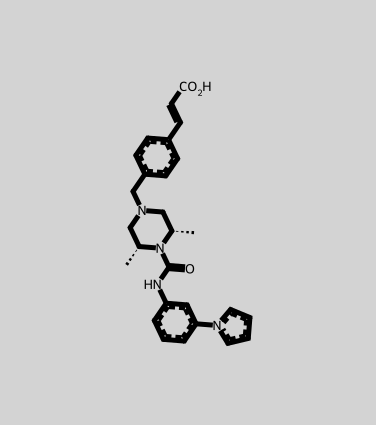 C[C@@H]1CN(Cc2ccc(/C=C/C(=O)O)cc2)C[C@H](C)N1C(=O)Nc1cccc(-n2cccc2)c1